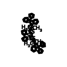 C[Si](C)(/C=C/[Si](c1ccccc1)(c1ccccc1)c1ccccc1)c1cc2c(s1)-c1sc([Si](C)(C)/C=C/[Si](c3ccccc3)(c3ccccc3)c3ccccc3)cc1[Si]2(c1ccccc1)c1ccccc1